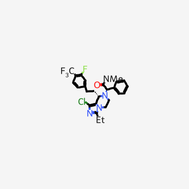 CCc1nc(Cl)c2n1CCN([C@@H](C(=O)NC)c1ccccc1)[C@H]2CCc1ccc(C(F)(F)F)c(F)c1